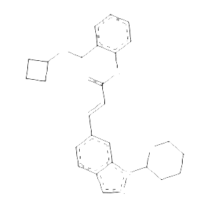 O=C(C=Cc1ccc2cnn(C3CCCCO3)c2c1)Nc1ccccc1COC1CCC1